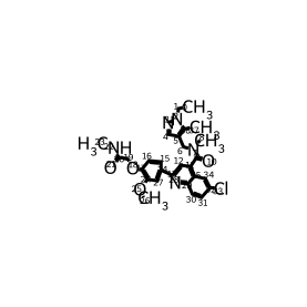 CCn1ncc(CN(C)C(=O)c2cc(-c3ccc(OCC(=O)NC)c(OC)c3)nc3ccc(Cl)cc23)c1C